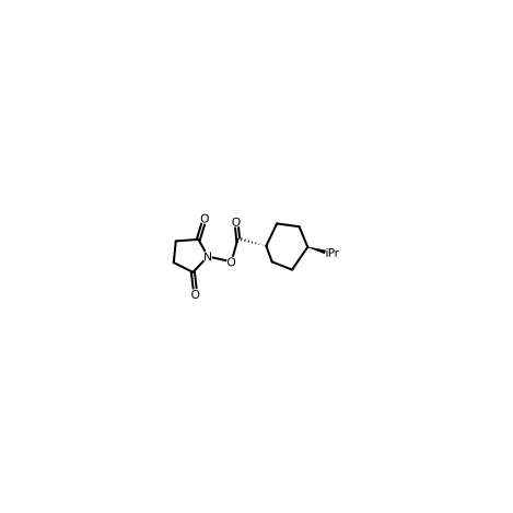 CC(C)[C@H]1CC[C@H](C(=O)ON2C(=O)CCC2=O)CC1